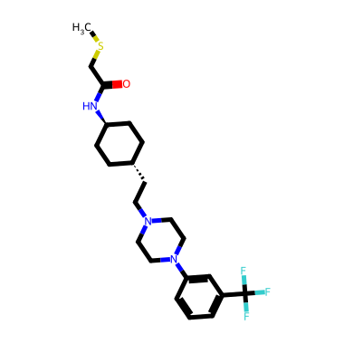 CSCC(=O)N[C@H]1CC[C@H](CCN2CCN(c3cccc(C(F)(F)F)c3)CC2)CC1